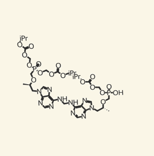 CC(C)OC(=O)OCOP(=O)(O)CO[C@H](C)Cn1cnc2c(NCNc3ncnc4c3ncn4C[C@@H](C)OCP(=O)(OCOC(=O)OC(C)C)OCOC(=O)OC(C)C)ncnc21